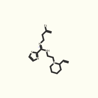 C=CC1CCCCN1CCN/C(=N\CCC(=C)CC)c1nccs1